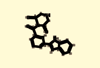 O=C1CNCC(=O)N1C(=O)c1cccc(-c2nc3ccccc3[nH]2)n1